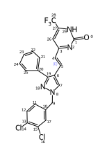 O=c1nc(/C=C/c2cn(Cc3ccc(Cl)c(Cl)c3)nc2-c2ccccc2)cc(C(F)(F)F)[nH]1